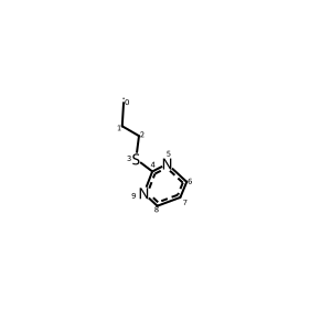 [CH2]CCSc1ncccn1